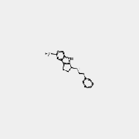 Cc1ccc2[nH]c3c(c2c1)CCC3NCCc1ccccc1